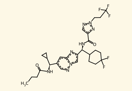 CCCC(=O)N[C@H](c1cnn2cc([C@@H](NC(=O)c3cnn(CCC(F)(F)F)n3)C3CCC(F)(F)CC3)nc2c1)C1CC1